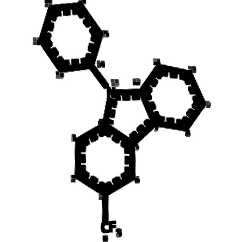 FC(F)(F)c1ccc2c(c1)c1c[c]ccc1n2-c1ccccc1